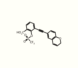 O=C(O)c1cccc(C#Cc2ccc3c(c2)C=CCO3)c1OS(=O)(=O)C(F)(F)F